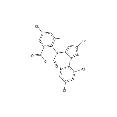 O=CN(c1c(Cl)cc(Cl)cc1C(=O)Cl)c1cc(Br)nn1-c1ncc(Cl)cc1Cl